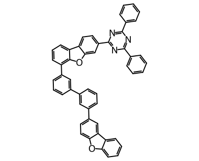 c1ccc(-c2nc(-c3ccccc3)nc(-c3ccc4c(c3)oc3c(-c5cccc(-c6cccc(-c7ccc8oc9ccccc9c8c7)c6)c5)cccc34)n2)cc1